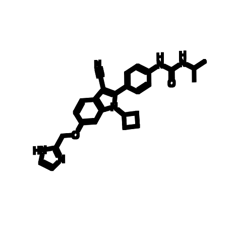 CC(C)NC(=O)Nc1ccc(-c2c(C#N)c3ccc(OCc4ncc[nH]4)cc3n2C2CCC2)cc1